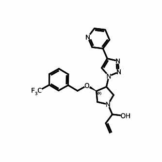 C=CC(O)N1CC(n2cc(-c3cccnc3)nn2)[C@H](OCc2cccc(C(F)(F)F)c2)C1